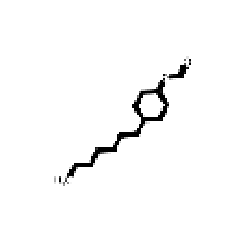 CCCCCCCC1CCC(OC=O)CC1